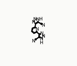 N#Cc1[nH]nnc1-c1cccc(-c2nn[nH]c2C#N)n1